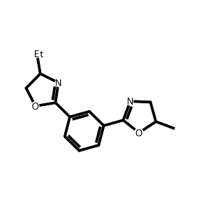 CCC1COC(c2cccc(C3=NCC(C)O3)c2)=N1